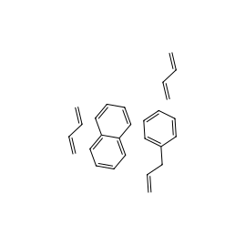 C=CC=C.C=CC=C.C=CCc1ccccc1.c1ccc2ccccc2c1